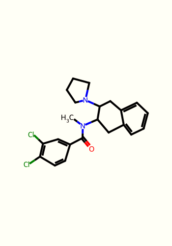 CN(C(=O)c1ccc(Cl)c(Cl)c1)C1Cc2ccccc2CC1N1CCCC1